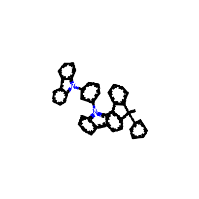 CC1(c2ccccc2)c2ccccc2-c2c1ccc1c3ccccc3n(-c3cccc(-n4c5ccccc5c5ccccc54)c3)c21